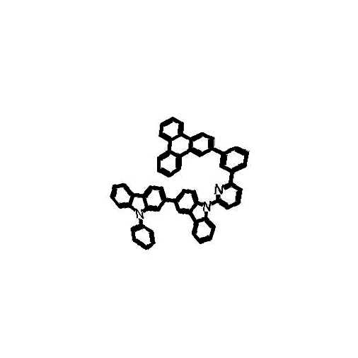 c1ccc(-n2c3ccccc3c3ccc(-c4ccc5c(c4)c4ccccc4n5-c4cccc(-c5cccc(-c6ccc7c8ccccc8c8ccccc8c7c6)c5)n4)cc32)cc1